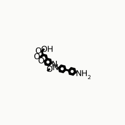 COc1cc2oc(=O)c(C(=O)O)cc2cc1N=Nc1ccc(-c2ccc(N)cc2)cc1